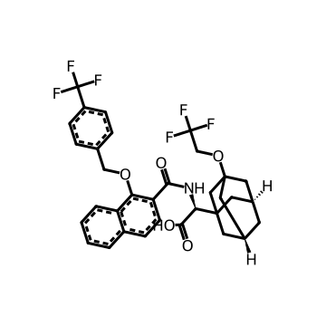 O=C(N[C@H](C(=O)O)C12C[C@@H]3C[C@@H](CC(OCC(F)(F)F)(C3)C1)C2)c1ccc2ccccc2c1OCc1ccc(C(F)(F)F)cc1